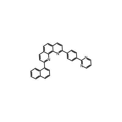 c1cnc(-c2ccc(-c3ccc4ccc5ccc(-c6cccc7ccccc67)nc5c4n3)cc2)nc1